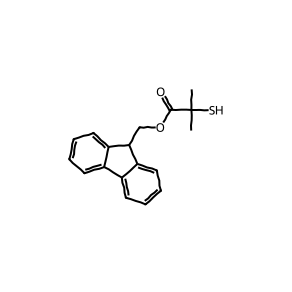 CC(C)(S)C(=O)OCC1c2ccccc2-c2ccccc21